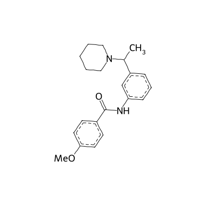 COc1ccc(C(=O)Nc2cccc(C(C)N3CCCCC3)c2)cc1